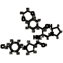 O=C(N[C@H](CN1CCCC1)[C@H](O)c1ccc2c(c1)OCCO2)[C@H]1CCN(c2ccc(Cl)cc2)C1